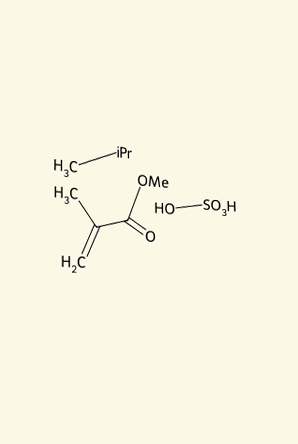 C=C(C)C(=O)OC.CC(C)C.O=S(=O)(O)O